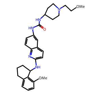 COCCN1CCC(NC(=O)Nc2ccc3nc(NC4CCCc5cccc(OC)c54)ccc3c2)CC1